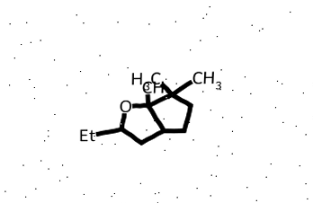 CCC1CC2CCC(C)(C)C2(C)O1